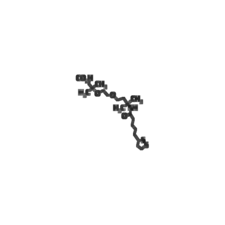 CC(C)(CCOCCOC(C)(C)CC(=O)O)NC(=O)CCCCC1CCSS1